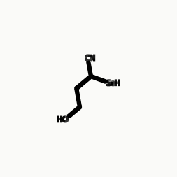 N#CC([SeH])CCO